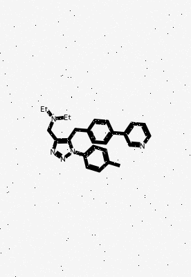 CCN(CC)Cc1nnn(-c2ccc(C)cc2)c1Cc1ccc(-c2cccnc2)cc1